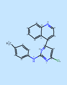 Cc1ccc(Nc2nc(Cl)cc(-c3ccnc4ccccc34)n2)cc1